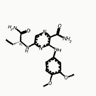 CC[C@@H](Nc1cnc(C(N)=O)c(Nc2ccc(OC)c(OC)c2)n1)C(N)=O